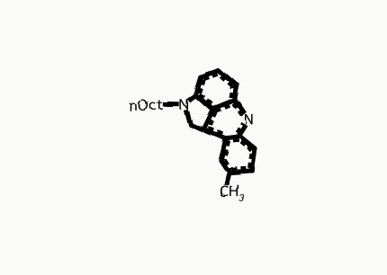 CCCCCCCCN1Cc2c3cc(C)ccc3nc3cccc1c23